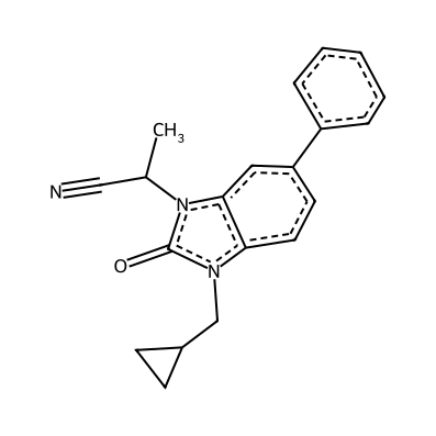 CC(C#N)n1c(=O)n(CC2CC2)c2ccc(-c3ccccc3)cc21